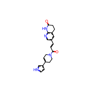 O=C1CCc2cc(/C=C/C(=O)N3CC=C(c4cc[nH]c4)CC3)cnc2N1